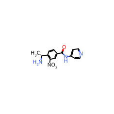 C[C@@H](N)c1ccc(C(=O)Nc2ccncc2)cc1[N+](=O)[O-]